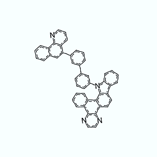 c1cc(-c2cccc(-n3c4ccccc4c4ccc5c6nccnc6c6ccccc6c5c43)c2)cc(-c2cc3ccccc3c3ncccc23)c1